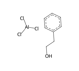 OCCc1ccccc1.[Cl][Al]([Cl])[Cl]